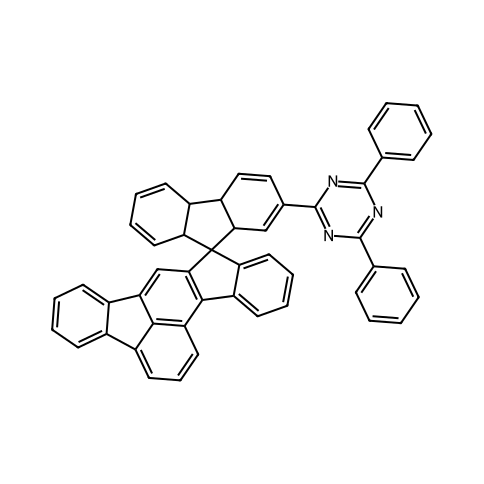 C1=CC2C3C=CC(c4nc(-c5ccccc5)nc(-c5ccccc5)n4)=CC3C3(c4ccccc4-c4c3cc3c5c(cccc45)-c4ccccc4-3)C2C=C1